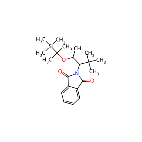 C[C](OC(C)(C)[Si](C)(C)C)C(N1C(=O)c2ccccc2C1=O)C(C)(C)C